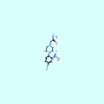 NC(=O)CN1CCN(c2ccc(F)cc2[N+](=O)[O-])CC1